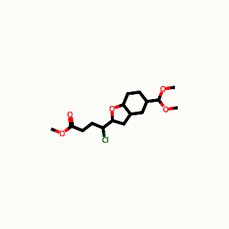 COC(=O)CCC(Cl)C1CC2CC(C(OC)OC)CCC2O1